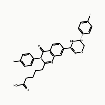 O=C(O)CCCCc1nc2cc(C3=NOC[C@@H](c4ccc(F)cc4)N3)ccc2c(=O)n1-c1ccc(F)cc1